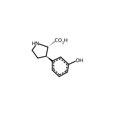 O=C(O)[C@H]1NCC[C@@H]1c1cccc(O)c1